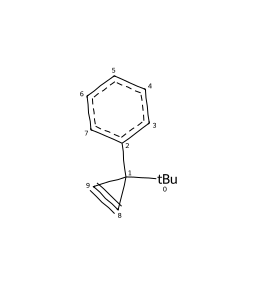 CC(C)(C)C1(c2ccccc2)C#C1